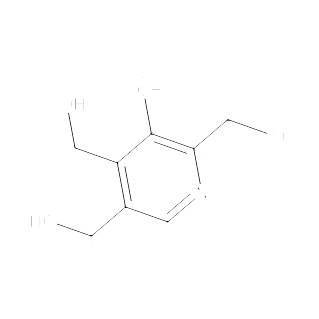 CC(C)Cc1ncc(CO)c(CO)c1O